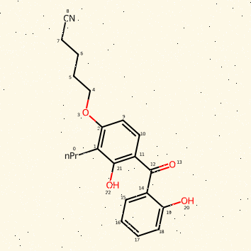 CCCc1c(OCCCCC#N)ccc(C(=O)c2ccccc2O)c1O